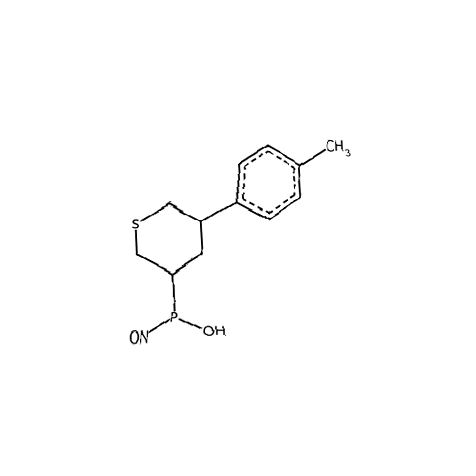 Cc1ccc(C2CSCC(P(O)N=O)C2)cc1